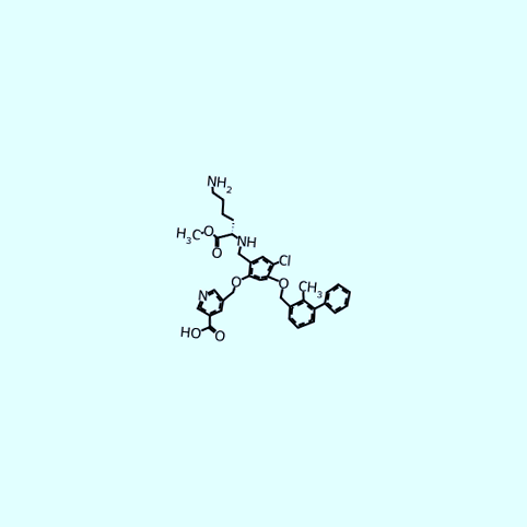 COC(=O)[C@H](CCCCN)NCc1cc(Cl)c(OCc2cccc(-c3ccccc3)c2C)cc1OCc1cncc(C(=O)O)c1